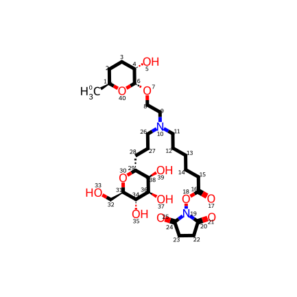 C[C@H]1CC[C@H](O)[C@H](OCCN(CCCCCC(=O)ON2C(=O)CCC2=O)CCC[C@H]2O[C@H](CO)[C@@H](O)[C@H](O)[C@@H]2O)O1